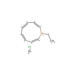 CC[s+]1cccccccc1.[Cl-].[Zn]